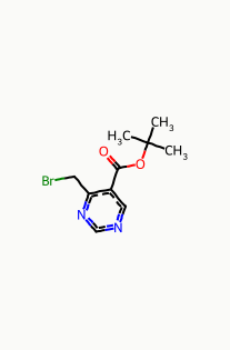 CC(C)(C)OC(=O)c1cncnc1CBr